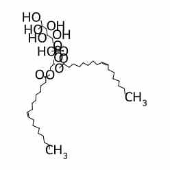 CCCCCCCC/C=C\CCCCCCCC(=O)OCC(COP(=O)(O)OCC(O)C(O)C(O)C(O)CO)OC(=O)CCCCCCC/C=C\CCCCCCCC